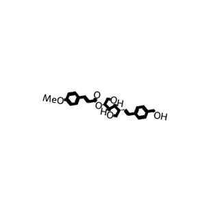 COc1ccc(/C=C/C(=O)O[C@@H]2CO[C@H]3[C@@H]2OC[C@H]3C=Cc2ccc(CO)cc2)cc1